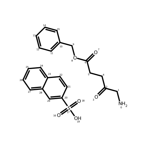 NCC(=O)CCC(=O)OCc1ccccc1.O=S(=O)(O)c1ccc2ccccc2c1